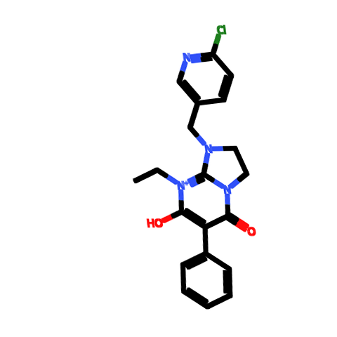 CC[n+]1c(O)c(-c2ccccc2)c(=O)n2c1N(Cc1ccc(Cl)nc1)CC2